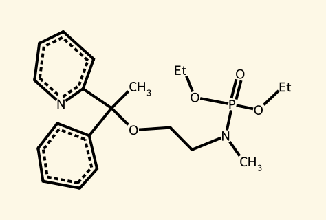 CCOP(=O)(OCC)N(C)CCOC(C)(c1ccccc1)c1ccccn1